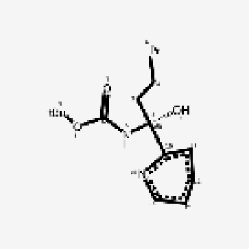 CC(C)CC[C@](O)(NC(=O)OC(C)(C)C)c1ccccn1